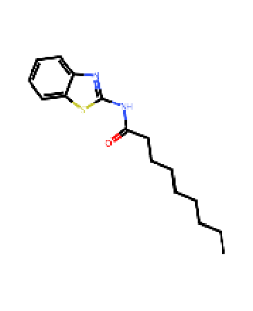 CCCCCCCCC(=O)Nc1nc2ccccc2s1